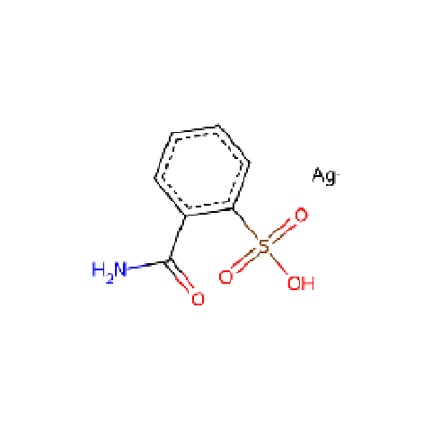 NC(=O)c1ccccc1S(=O)(=O)O.[Ag]